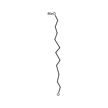 COCCCCCCCCCCC[O]